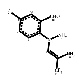 N/C(=C\N(N)c1ccc(Cl)cc1C=O)C(F)(F)F